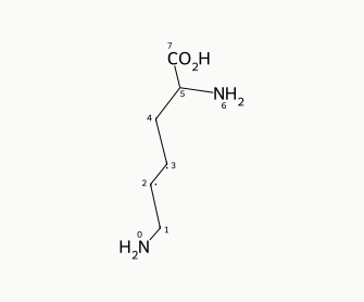 NC[CH][CH]CC(N)C(=O)O